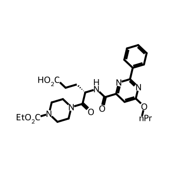 CCCOc1cc(C(=O)N[C@@H](CCC(=O)O)C(=O)N2CCN(C(=O)OCC)CC2)nc(-c2ccccc2)n1